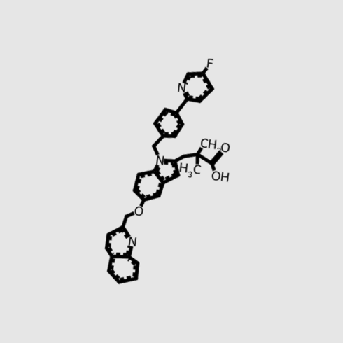 CC(C)(Cc1cc2cc(OCc3ccc4ccccc4n3)ccc2n1Cc1ccc(-c2ccc(F)cn2)cc1)C(=O)O